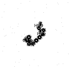 COC(=O)N[C@@H]1CC[C@H](C(=O)N2CCC[C@H]2c2ncc(-c3ccc(-c4ccc(-c5cnc([C@@H]6CCCN6C(=O)[C@@H](c6ccccc6)N(C)C(=O)O)[nH]5)cc4)cc3)[nH]2)C1